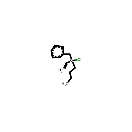 C=C[Si](Cl)(CCCC)Cc1ccccc1